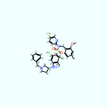 COc1cc(C)ccc1CN(c1ccc(F)cn1)S(=O)(=O)c1c(F)cc(N[C@H]2CCN(Cc3ccccc3)C2)c(C)c1F